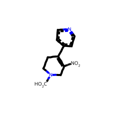 O=C(O)N1CCC(c2ccncc2)=C([N+](=O)[O-])C1